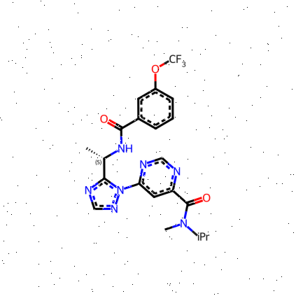 CC(C)N(C)C(=O)c1cc(-n2ncnc2[C@H](C)NC(=O)c2cccc(OC(F)(F)F)c2)ncn1